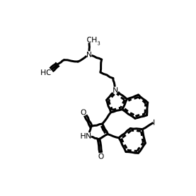 C#CCCN(C)CCCn1cc(C2=C(c3cccc(I)c3)C(=O)NC2=O)c2ccccc21